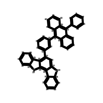 c1ccc(-c2c3ccccc3c(-c3cccc(-c4cc5sc6ccccc6c5c5sc6ccccc6c45)c3)c3ccccc23)cc1